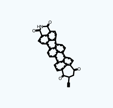 C#CC1CC(=O)c2ccc3c4ccc5c6ccc7c8c(ccc(c9ccc(c%10ccc(c2c3%10)C1=O)c4c59)c86)C(=O)NC7=O